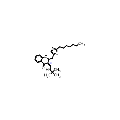 CCCCCCCc1ncc(CC2Oc3ccccc3C(=O)/C2=C\NC(C)(C)C)o1